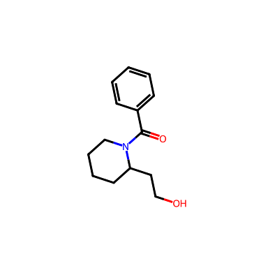 O=C(c1ccccc1)N1CCCCC1CCO